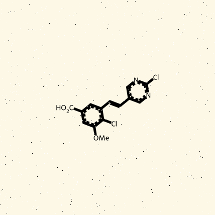 COc1cc(C(=O)O)cc(/C=C/c2cnc(Cl)nc2)c1Cl